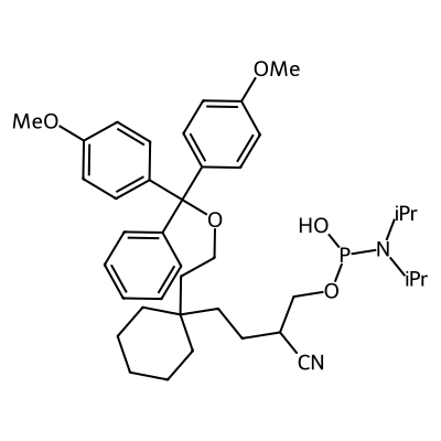 COc1ccc(C(OCCC2(CCC(C#N)COP(O)N(C(C)C)C(C)C)CCCCC2)(c2ccccc2)c2ccc(OC)cc2)cc1